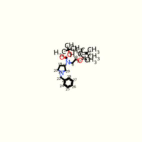 CC(C)(C)OC(=O)N(CCO[Si](C)(C)C(C)(C)C)[C@H]1CCN(Cc2ccccc2)C1